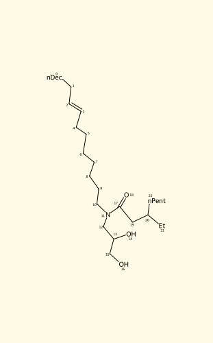 CCCCCCCCCCCC=CCCCCCCCN(CC(O)CO)C(=O)CC(CC)CCCCC